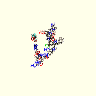 CNCc1cc(NC(=O)[C@H](CCCNC(N)=O)NC(=O)[C@@H](NC(=O)OCCN=[N+]=[N-])C(C)C)ccc1C[N+](C)(C)CCC[C@@H]1Cc2ccccc2CN1C(=O)c1ccc(Cl)cc1-c1cc(C(=O)N(c2ccc(O)cc2)c2cc(C#N)n(C)c2C)c(C)n1C.O=C([O-])C(F)(F)F